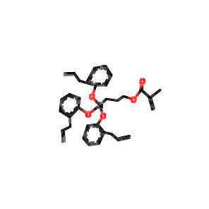 C=CCc1ccccc1O[Si](CCCOC(=O)C(=C)C)(Oc1ccccc1CC=C)Oc1ccccc1CC=C